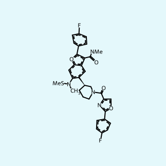 CNC(=O)c1c(-c2ccc(F)cc2)oc2cc(N(C)SC)c([C@@H]3CCCN(C(=O)c4coc(-c5ccc(F)cc5)n4)C3)cc12